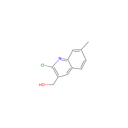 Cc1ccc2cc(CO)c(Cl)nc2c1